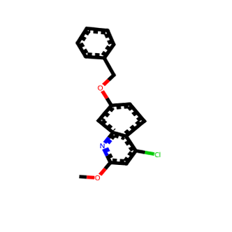 COc1cc(Cl)c2ccc(OCc3ccccc3)cc2n1